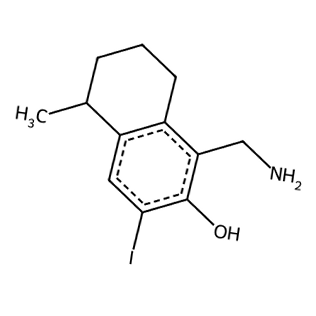 CC1CCCc2c1cc(I)c(O)c2CN